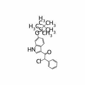 CC(C)(C)[Si](C)(C)Oc1ccc2c(C(=O)C(Cl)c3ccccc3)c[nH]c2c1